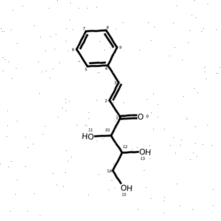 O=C(C=Cc1ccccc1)C(O)C(O)CO